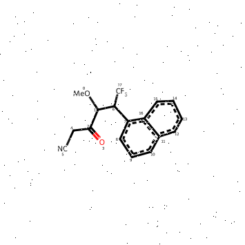 COC(C(=O)CC#N)C(c1cccc2ccccc12)C(F)(F)F